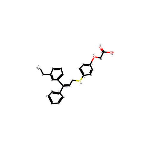 CCc1cccc(/C(=C\CSc2ccc(OCC(=O)O)cc2)c2ccccc2)c1